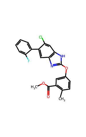 COC(=O)c1cc(Oc2nc3cc(-c4ccccc4F)c(Cl)cc3[nH]2)ccc1C